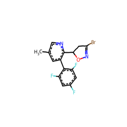 Cc1cnc(C2CC(Br)=NO2)c(-c2c(F)cc(F)cc2F)c1